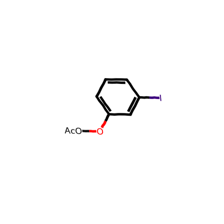 CC(=O)OOc1cccc(I)c1